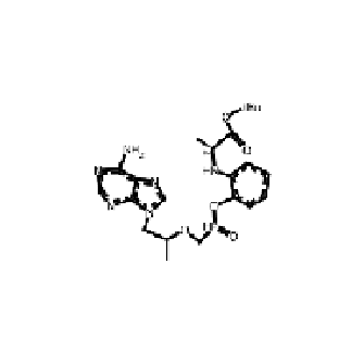 CC(Cn1cnc2c(N)ncnc21)OC[PH](=O)Oc1ccccc1N[C@@H](C)C(=O)OC(C)(C)C